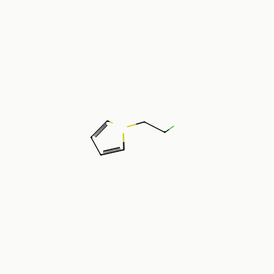 ClCC[SH]1C=CC=C1